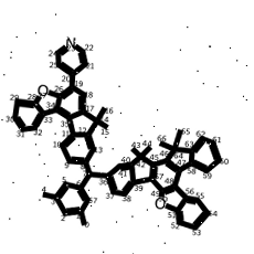 Cc1cc(C)cc(C(c2ccc3c(c2)C(C)(C)c2cc(-c4ccncc4)c4oc5ccccc5c4c2-3)c2ccc3c(c2)C(C)(C)c2c4c(c5c(oc6ccccc65)c2-3)-c2ccccc2C4(C)C)c1